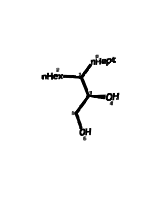 CCCCCCCC(CCCCCC)[C@@H](O)CO